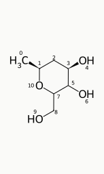 C[C@H]1C[C@@H](O)C(O)C(CO)O1